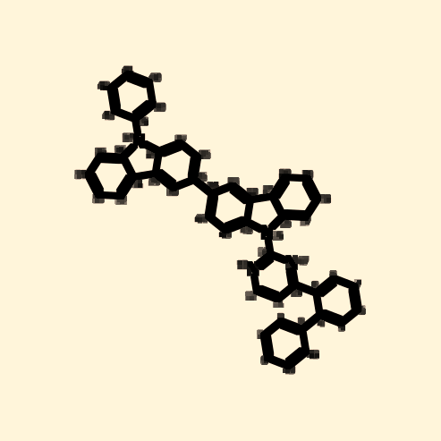 c1ccc(-c2ccccc2-c2ccnc(-n3c4ccccc4c4cc(-c5ccc6c(c5)c5ccccc5n6-c5ccccc5)ccc43)n2)cc1